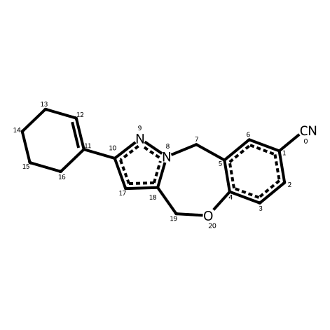 N#Cc1ccc2c(c1)Cn1nc(C3=CCCCC3)cc1CO2